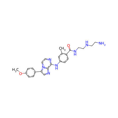 COc1ccc(-c2cnc3c(Nc4ccc(C(=O)NCCNCCN)c(C)c4)nccn23)cc1